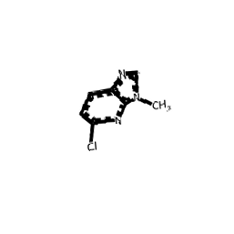 Cn1[c]nc2ccc(Cl)nc21